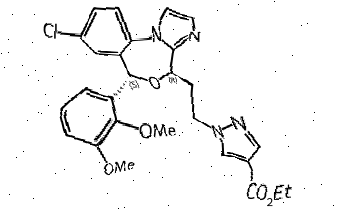 CCOC(=O)c1cnn(CC[C@H]2O[C@H](c3cccc(OC)c3OC)c3cc(Cl)ccc3-n3ccnc32)c1